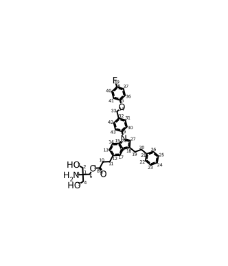 NC(CO)(CO)COC(=O)CCc1ccc2c(c1)c(CCc1ccccc1)cn2-c1ccc(COc2ccc(F)cc2)cc1